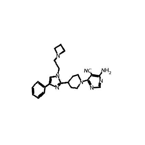 N#Cc1c(N)ncnc1N1CCC(c2nc(-c3ccccc3)cn2CCN2CCC2)CC1